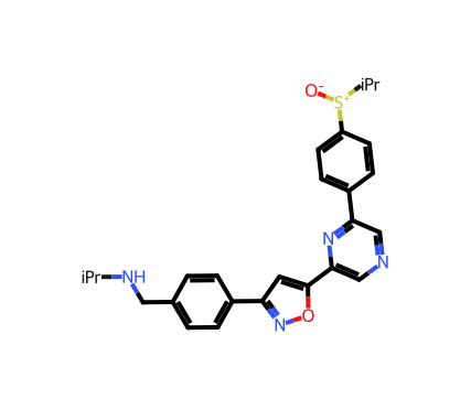 CC(C)NCc1ccc(-c2cc(-c3cncc(-c4ccc([S+]([O-])C(C)C)cc4)n3)on2)cc1